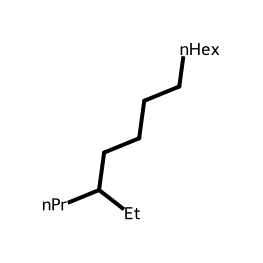 [CH2]CCC(CC)CCCCCCCCCC